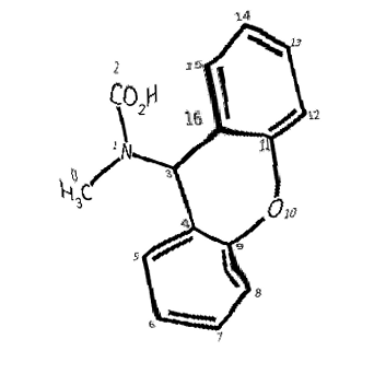 CN(C(=O)O)C1c2ccccc2Oc2ccccc21